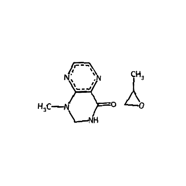 CC1CO1.CN1CNC(=O)c2nccnc21